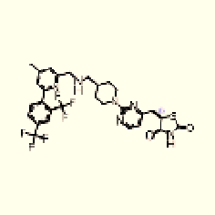 Cc1cc(CNCC2CCN(c3nccc(/C=C4/SC(=O)NC4=O)n3)CC2)nc(-c2ccc(C(F)(F)F)cc2C(F)(F)F)c1